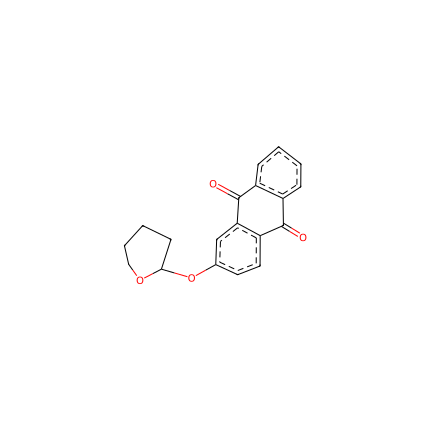 O=C1c2ccccc2C(=O)c2cc(OC3CCCCO3)ccc21